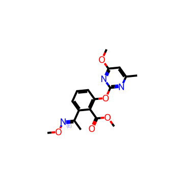 CO/N=C(\C)c1cccc(Oc2nc(C)cc(OC)n2)c1C(=O)OC